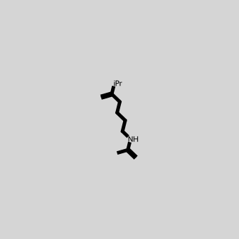 C=C(C)NCCCCC(=C)C(C)C